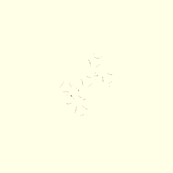 O=c1c2ccccc2nc2n(-c3ccc(N(c4ccccc4)c4ccccc4)cc3)c3ccccc3n12